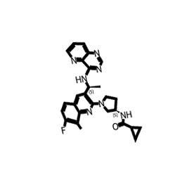 Cc1c(F)ccc2cc([C@H](C)Nc3ncnc4cccnc34)c(N3CC[C@H](NC(=O)C4CC4)C3)nc12